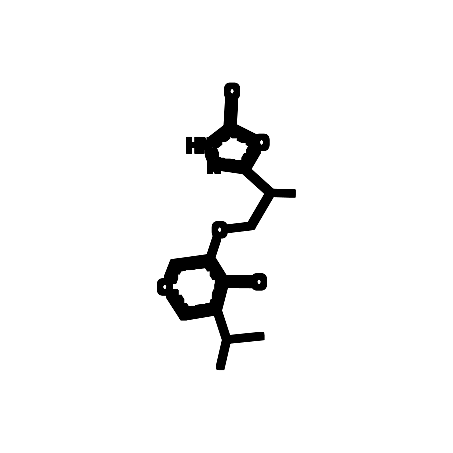 CC(C)c1cocc(OCC(C)c2n[nH]c(=O)o2)c1=O